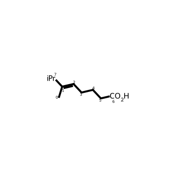 CC(=CCCCC(=O)O)C(C)C